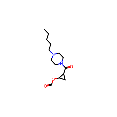 CCCCCN1CCN(C(=O)C2CC2OC=O)CC1